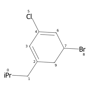 CC(C)CC1=CC(Cl)=CC(Br)C1